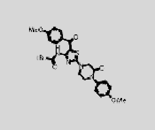 COc1ccc(C(=O)c2sc(N3CCN(c4ccc(OC)cc4)C(=O)C3)nc2NC(=O)C(C)(C)C)cc1